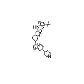 CC(C)(C)c1cnc(NC(=O)Cc2ccc(-c3cnc4cc(-c5ccncc5)ccn34)cc2F)s1